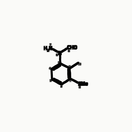 CSc1cccc(N(N)C=O)c1C